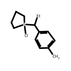 CCC(c1ccc(C)cc1)S1(Cl)CCCC1